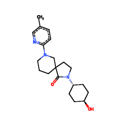 Cc1ccc(N2CCCC3(CCN([C@H]4CC[C@H](O)CC4)C3=O)C2)nc1